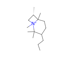 CCCC1CCC2(C)[C@@H](C)C[N+]2(C)C1(C)C